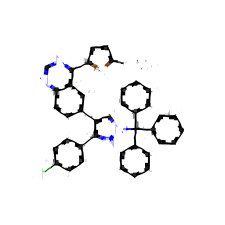 CSc1ccc(-c2ncnc3ccc(-c4cn(C(c5ccccc5)(c5ccccc5)c5ccccc5)nc4-c4ccc(Cl)cc4)cc23)s1